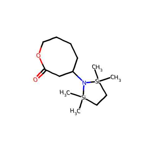 C[Si]1(C)CC[Si](C)(C)N1C1CCCCOC(=O)C1